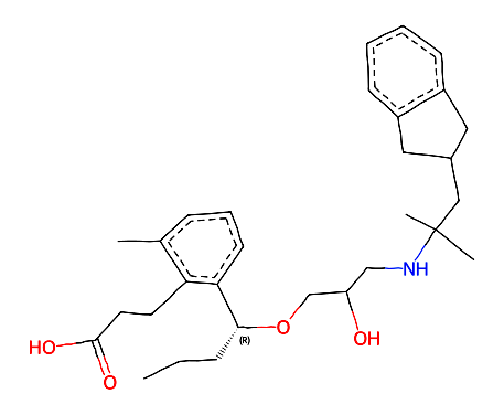 CCC[C@@H](OCC(O)CNC(C)(C)CC1Cc2ccccc2C1)c1cccc(C)c1CCC(=O)O